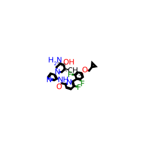 C[C@H]1CN(c2ccncc2NC(=O)c2ccc(F)c(-c3c(F)cc(OCC4CC4)cc3F)n2)C[C@@H](N)[C@@H]1O